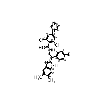 Cc1cc2nc(C(CNC(O)c3c(Cl)cc(-n4cnnc4)cc3Cl)c3ccc(F)cc3)[nH]c2cc1C